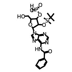 CC(C)(C)[Si](C)(C)OC1C(O[PH](=O)O)C(CO)OC1n1cnc2c(NC(=O)c3ccccc3)ncnc21